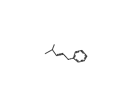 CC(C)/C=C/Cc1ccccc1